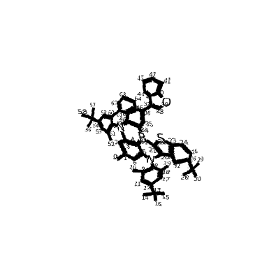 Cc1cc2c3c(c1)N(c1c(C)cc(C(C)(C)C)cc1C)c1c(sc4ccc(C(C)(C)C)cc14)B3c1cc(-c3coc4ccccc34)ccc1N2c1c(C)cc(C(C)(C)C)cc1-c1ccccc1